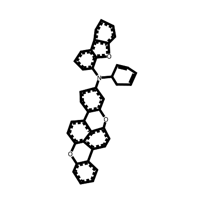 C1=CCC(N(c2ccc3c(c2)Oc2ccc4c5c(ccc-3c25)Oc2ccccc2-4)c2cccc3c2oc2ccccc23)C=C1